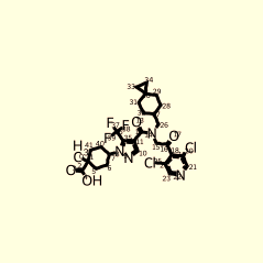 CC1(C(=O)O)CCC(n2ncc(C(=O)N(CC(=O)c3c(Cl)cncc3Cl)CC3CCC4(CC3)CC4)c2C(F)(F)F)CC1